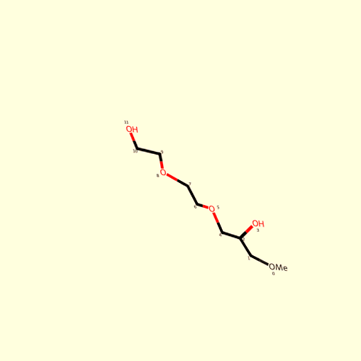 COCC(O)COCCOCCO